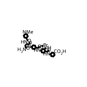 CNc1ccc(C(=O)NC(CC(N)=O)C(=O)Nc2ccc(C(=O)Nc3ccc(C(=O)Nc4cccc(C(=O)O)c4)c(O)c3OC(C)C)cc2)cc1